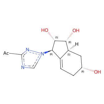 CC(=O)c1ncn([C@@H]2C3=CC[C@@H](O)C[C@@H]3[C@@H](O)[C@H]2O)n1